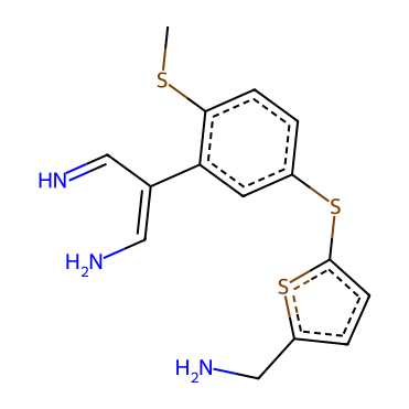 CSc1ccc(Sc2ccc(CN)s2)cc1/C(C=N)=C/N